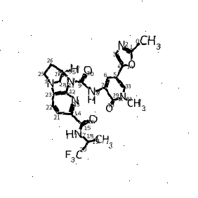 Cc1ncc(-c2cc(NC(=O)N3c4nc(C(=O)NC(C)C(F)(F)F)ccc4N4CC[C@H]3C4)c(=O)n(C)c2)o1